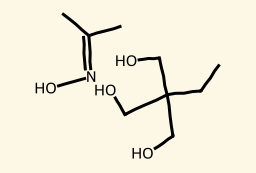 CC(C)=NO.CCC(CO)(CO)CO